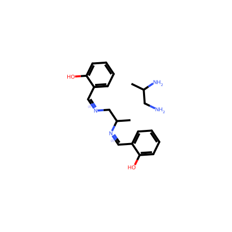 CC(C/N=C\c1ccccc1O)/N=C\c1ccccc1O.CC(N)CN